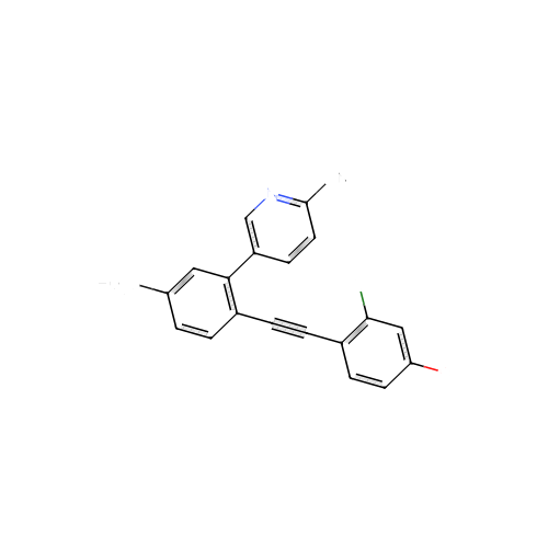 N#Cc1ccc(-c2cc(C(=O)O)ccc2C#Cc2ccc(O)cc2Cl)cn1